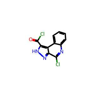 O=C(Cl)c1[nH]nc2c(Cl)nc3ccccc3c12